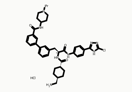 CC(C)N1CCC(NC(=O)c2cccc(-c3cccc(C[C@H](NC(=O)[C@H]4CC[C@H](CN)CC4)C(=O)Nc4ccc(-c5nnc(Cl)[nH]5)cc4)c3)c2)CC1.Cl